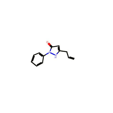 C=CCc1cc(=O)n(-c2ccccc2)[nH]1